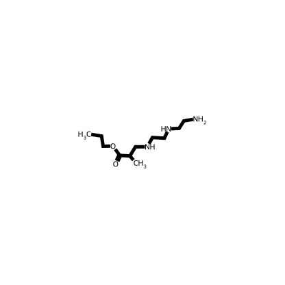 CCCOC(=O)C(C)CNCCNCCN